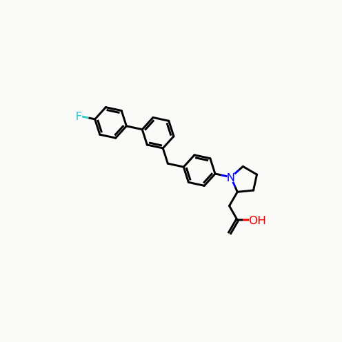 C=C(O)CC1CCCN1c1ccc(Cc2cccc(-c3ccc(F)cc3)c2)cc1